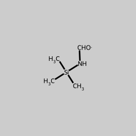 C[Si](C)(C)N[C]=O